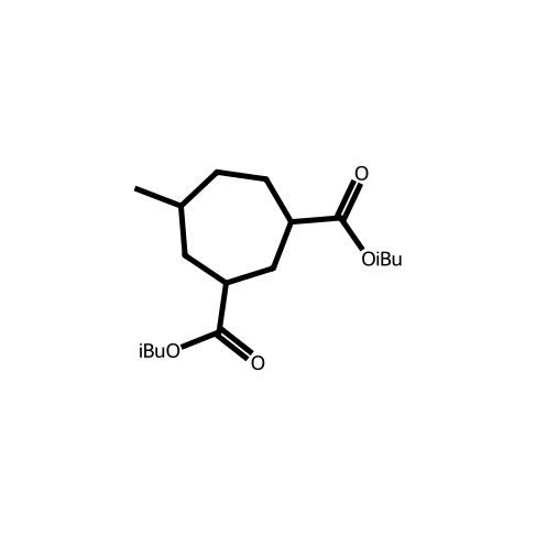 CC(C)COC(=O)C1CCC(C)CC(C(=O)OCC(C)C)C1